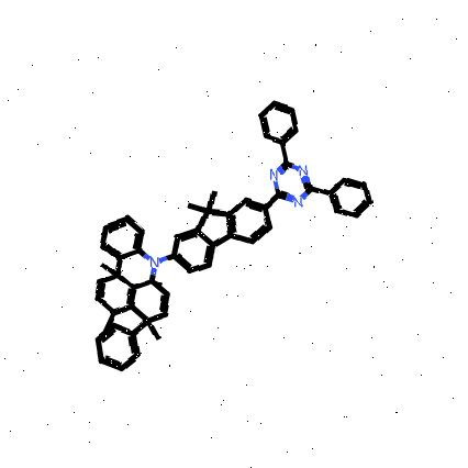 CC1C=CC2(C)C3=C1C(C)(c1ccccc1)C=CC3(C)N(c1ccc3c(c1)C(C)(C)c1cc(-c4nc(-c5ccccc5)nc(-c5ccccc5)n4)ccc1-3)c1ccccc12